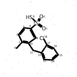 Cc1ccc(S(=O)(=O)S)cc1Cc1ccccc1Cl